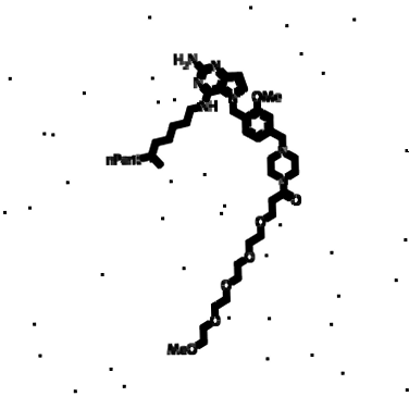 CCCCCC(C)CCCCCNc1nc(N)nc2ccn(Cc3ccc(CN4CCN(C(=O)CCOCCOCCOCCOCCOC)CC4)cc3OC)c12